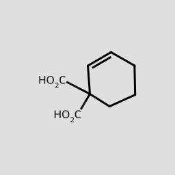 O=C(O)C1(C(=O)O)C=CCCC1